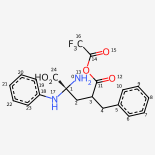 N[C@](CC(Cc1ccccc1)C(=O)OC(=O)C(F)(F)F)(Nc1ccccc1)C(=O)O